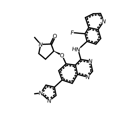 CN1CC[C@H](Oc2cc(-c3cnn(C)c3)cc3ncnc(Nc4ccc5ncccc5c4F)c23)C1=O